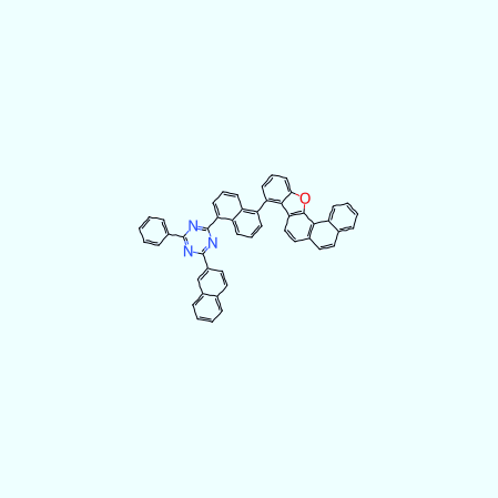 c1ccc(-c2nc(-c3ccc4ccccc4c3)nc(-c3cccc4c(-c5cccc6oc7c(ccc8ccc9ccccc9c87)c56)cccc34)n2)cc1